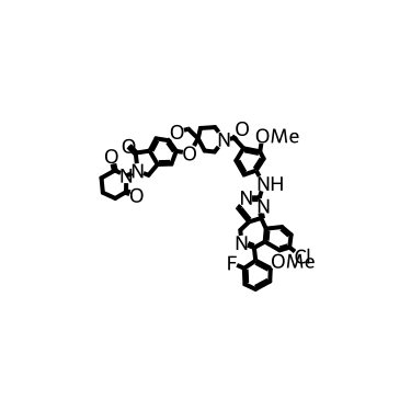 COc1cc(Nc2ncc3c(n2)-c2ccc(Cl)cc2C(c2c(F)cccc2OC)=NC3)ccc1C(=O)N1CCC2(CC1)COc1cc3c(cc1O2)CN(N1C(=O)CCCC1=O)C3=O